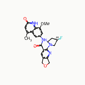 COc1cc(NC(=O)c2cc3c(nc2N2CC[C@@H](F)C2)COC3)cc2c(C)cc(=O)[nH]c12